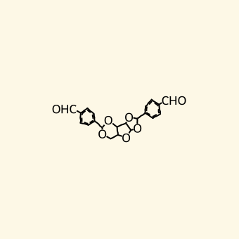 O=Cc1ccc(C2OCC3OC4OC(c5ccc(C=O)cc5)OC4C3O2)cc1